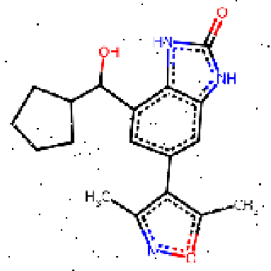 Cc1noc(C)c1-c1cc(C(O)C2CCCC2)c2[nH]c(=O)[nH]c2c1